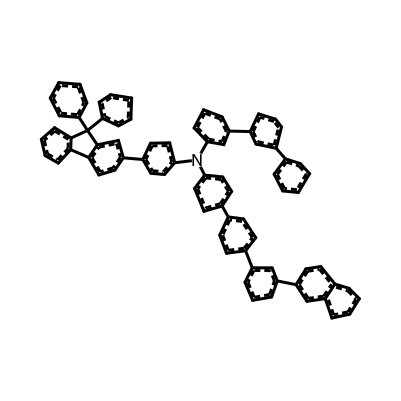 c1ccc(-c2cccc(-c3cccc(N(c4ccc(-c5ccc(-c6cccc(-c7ccc8ccccc8c7)c6)cc5)cc4)c4ccc(-c5ccc6c(c5)C(c5ccccc5)(c5ccccc5)c5ccccc5-6)cc4)c3)c2)cc1